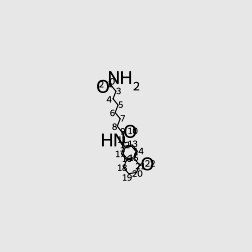 NC(=O)CCCCCCC(=O)Nc1ccc2c(c1)CCCC2=O